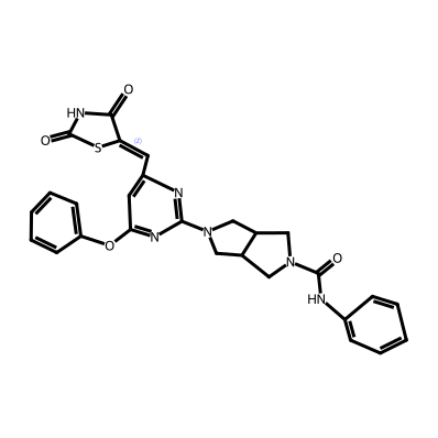 O=C1NC(=O)/C(=C/c2cc(Oc3ccccc3)nc(N3CC4CN(C(=O)Nc5ccccc5)CC4C3)n2)S1